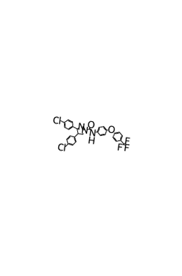 O=C(Nc1ccc(Oc2ccc(C(F)(F)F)cc2)cc1)N1CC(c2ccc(Cl)cc2)C(c2ccc(Cl)cc2)=N1